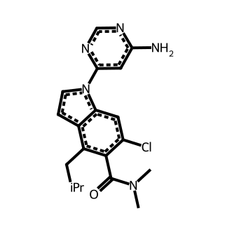 CC(C)Cc1c(C(=O)N(C)C)c(Cl)cc2c1ccn2-c1cc(N)ncn1